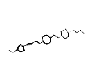 CCCC[C@H]1CC[C@H](CCC2CCC(/C=C/C#Cc3ccc(CC)cc3)CC2)CC1